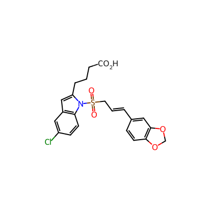 O=C(O)CCCc1cc2cc(Cl)ccc2n1S(=O)(=O)CC=Cc1ccc2c(c1)OCO2